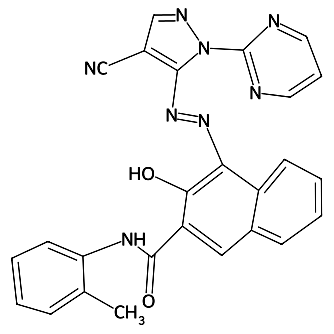 Cc1ccccc1NC(=O)c1cc2ccccc2c(/N=N/c2c(C#N)cnn2-c2ncccn2)c1O